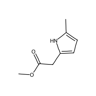 COC(=O)Cc1ccc(C)[nH]1